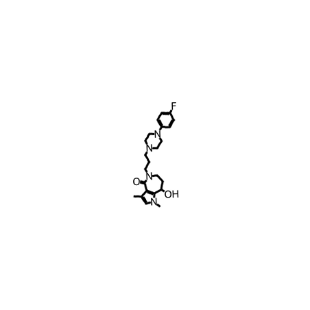 Cc1cn(C)c2c1C(=O)N(CCCN1CCN(c3ccc(F)cc3)CC1)CCC2O